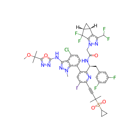 COC(C)(C)c1nnc(Nc2nn(C)c3c(-c4cc(I)c(C#CC(C)(C)S(=O)(=O)C5CC5)nc4[C@H](Cc4cc(F)cc(F)c4)NC(=O)Cn4nc(C(F)F)c5c4C(F)(F)[C@@H]4C[C@H]54)ccc(Cl)c23)o1